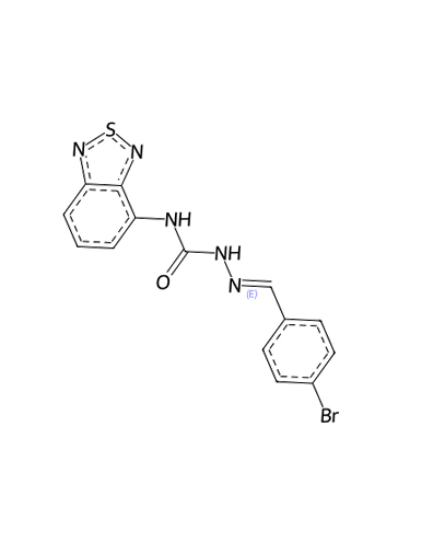 O=C(N/N=C/c1ccc(Br)cc1)Nc1cccc2nsnc12